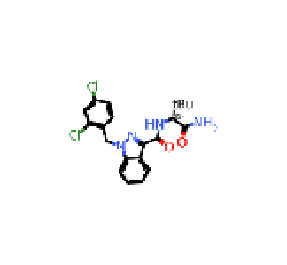 CC(C)(C)[C@H](NC(=O)c1nn(Cc2ccc(Cl)cc2Cl)c2ccccc12)C(N)=O